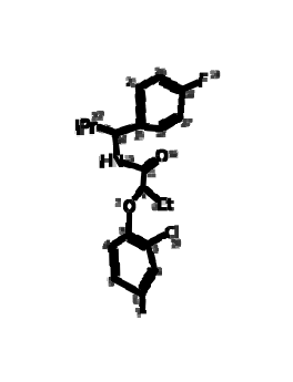 CCC(Oc1ccc(C)cc1Cl)C(=O)NC(c1ccc(F)cc1)C(C)C